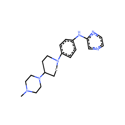 CN1CCN(C2CCN(c3ccc(Nc4cnccn4)cc3)CC2)CC1